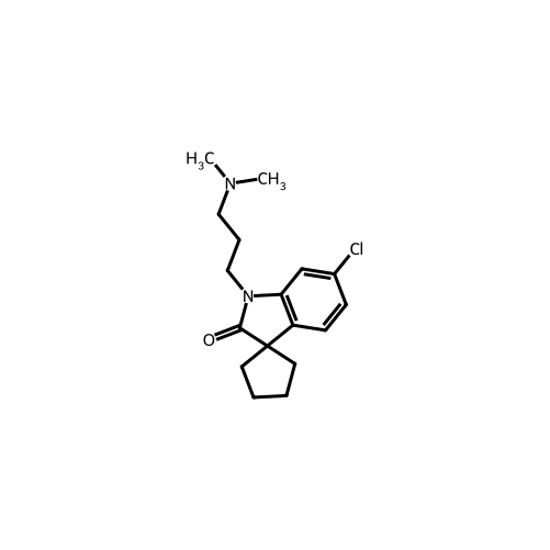 CN(C)CCCN1C(=O)C2(CCCC2)c2ccc(Cl)cc21